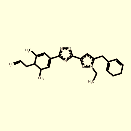 C=CCC1C(C)=CC(c2noc(-c3cc(CC4=CCCC=C4)n(CC)n3)n2)=CC1C